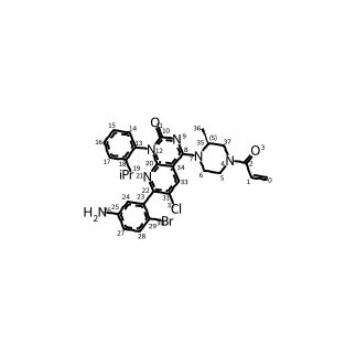 C=CC(=O)N1CCN(c2nc(=O)n(-c3ccccc3C(C)C)c3nc(-c4cc(N)ccc4Br)c(Cl)cc23)[C@@H](C)C1